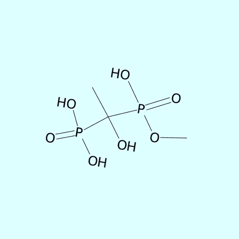 COP(=O)(O)C(C)(O)P(=O)(O)O